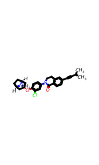 CC(C)C#Cc1ccc2c(c1)CCN(c1ccc(O[C@H]3C[C@H]4CC[C@@H](C3)N4C)c(Cl)c1)C2=O